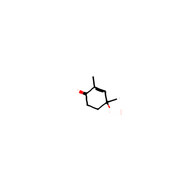 CC1=CC(C)(O)CCC1=O